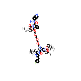 C[C@@H]1CN(CC(=O)N2CC(C)(C)c3ncc(Cc4ccc(F)cc4)cc32)[C@@H](CN(C)CCOCCOCCOCCOCCN(C[C@@H](C(=O)Nc2ccc3cnccc3c2)c2ccccc2)C(=O)OC(C)(C)C)CN1C(=O)OC(C)(C)C